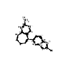 Cc1cn2nc(C3=CCCCc4nc(N)ncc43)ccc2n1